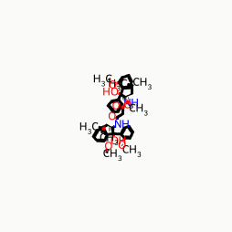 COc1ccccc1C(O)(c1ccccc1OC)[C@@H](CC(C)C)NC(=O)CC(=O)N[C@H](CC(C)C)C(O)(c1ccccc1OC)c1ccccc1OC